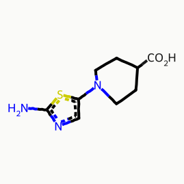 Nc1ncc(N2CCC(C(=O)O)CC2)s1